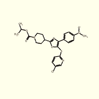 CC(C)OC(=O)N1CCC(c2nc(-c3ccc([S+](C)[O-])cc3)c(Sc3ccc(Cl)cn3)o2)CC1